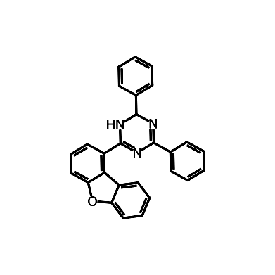 c1ccc(C2=NC(c3ccccc3)NC(c3cccc4oc5ccccc5c34)=N2)cc1